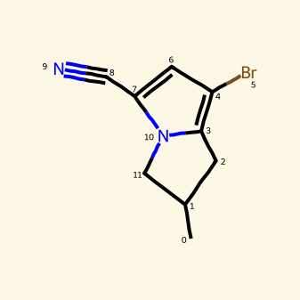 CC1Cc2c(Br)cc(C#N)n2C1